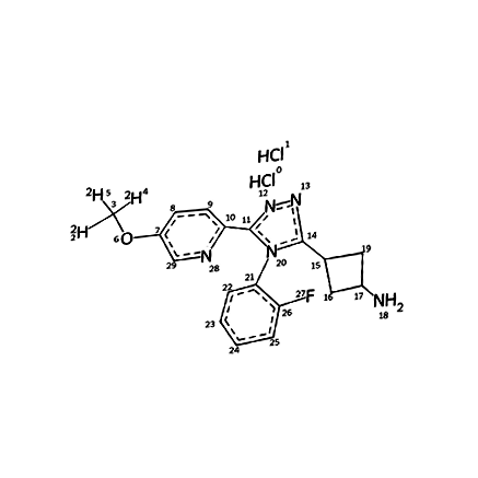 Cl.Cl.[2H]C([2H])([2H])Oc1ccc(-c2nnc(C3CC(N)C3)n2-c2ccccc2F)nc1